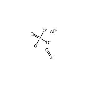 O=P([O-])([O-])[O-].[Al+3].[O]=[Zr]